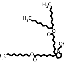 CCCCCCCCCOC(=O)CCCCCCC1(CCCCCCC(=O)OC(CCCCCCCC)CCCCCCCC)CCCN1CCO